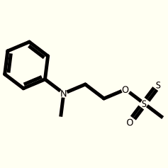 CN(CCOS(C)(=O)=S)c1ccccc1